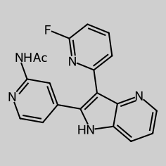 CC(=O)Nc1cc(-c2[nH]c3cccnc3c2-c2cccc(F)n2)ccn1